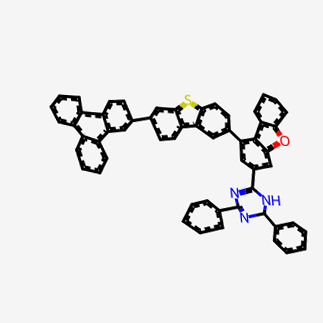 c1ccc(C2=NC(c3ccccc3)NC(c3cc(-c4ccc5sc6cc(-c7ccc8c9ccccc9c9ccccc9c8c7)ccc6c5c4)c4c(c3)oc3ccccc34)=N2)cc1